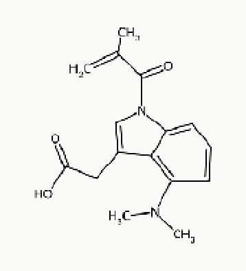 C=C(C)C(=O)n1cc(CC(=O)O)c2c(N(C)C)cccc21